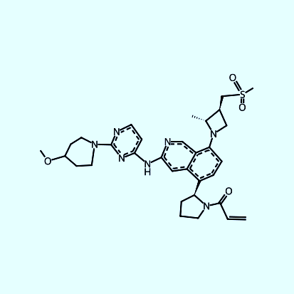 C=CC(=O)N1CCC[C@H]1c1ccc(N2C[C@H](CS(C)(=O)=O)[C@H]2C)c2cnc(Nc3ccnc(N4CCC(OC)CC4)n3)cc12